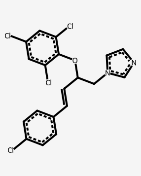 Clc1ccc(C=CC(Cn2ccnc2)Oc2c(Cl)cc(Cl)cc2Cl)cc1